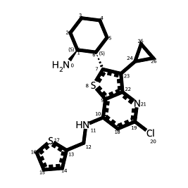 N[C@H]1CCCC[C@@H]1c1sc2c(NCc3cccs3)cc(Cl)nc2c1C1CC1